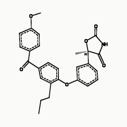 CCCc1cc(C(=O)c2ccc(OC)cc2)ccc1Oc1cccc([C@@]2(C)OC(=O)NC2=O)c1